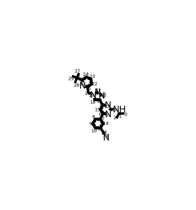 CC(C)Nc1nc(-c2cccc(C#N)c2)cc(-c2cn(Cc3cccc(C(C)(C)C)n3)nn2)n1